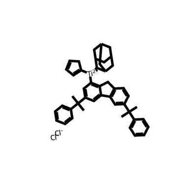 CC(C)(c1ccccc1)c1ccc2c(c1)-c1cc(C(C)(C)c3ccccc3)c[c]([Ti+2]([C]3=CC=CC3)=[C]3C4CC5CC(C4)CC3C5)c1C2.[Cl-].[Cl-]